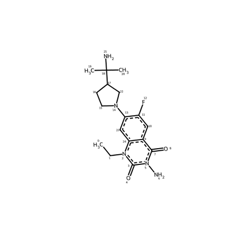 CCn1c(=O)n(N)c(=O)c2cc(F)c(N3CCC(C(C)(C)N)C3)cc21